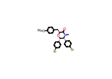 COc1ccc(C[C@@H]2O[C@@H](c3ccc(Br)cc3)[C@@H](c3ccc(Br)cc3)N(C)C2=O)cc1